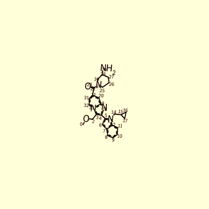 COCc1c(-c2cc3ccccc3n2CC2CC2)nc2cc(C(=O)N3CCCC(N)C3)ccn12